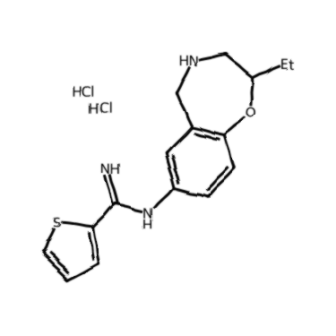 CCC1CNCc2cc(NC(=N)c3cccs3)ccc2O1.Cl.Cl